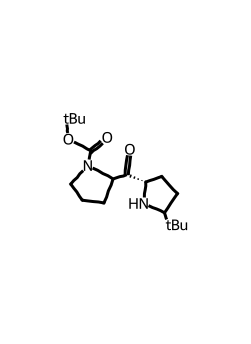 CC(C)(C)OC(=O)N1CCCC1C(=O)[C@@H]1CCC(C(C)(C)C)N1